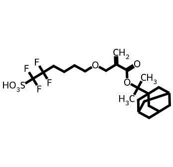 C=C(COCCCCC(F)(F)C(F)(F)S(=O)(=O)O)C(=O)OC(C)(C)C12CC3CC(CC(C3)C1)C2